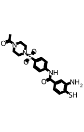 CC(=O)N1CCN(S(=O)(=O)c2ccc(NC(=O)c3ccc(S)c(N)c3)cc2)CC1